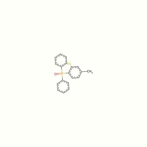 Cc1ccc(P(=O)(c2ccccc2)c2ccccc2)c(S)c1